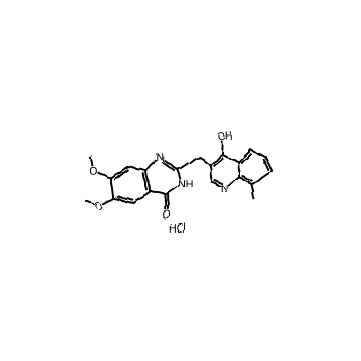 COc1cc2nc(Cc3cnc4c(C)cccc4c3O)[nH]c(=O)c2cc1OC.Cl